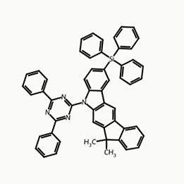 CC1(C)c2ccccc2-c2cc3c4cc([Si](c5ccccc5)(c5ccccc5)c5ccccc5)ccc4n(-c4nc(-c5ccccc5)nc(-c5ccccc5)n4)c3cc21